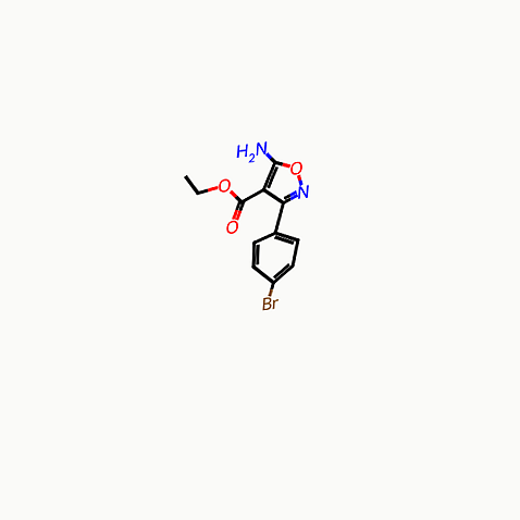 CCOC(=O)c1c(-c2ccc(Br)cc2)noc1N